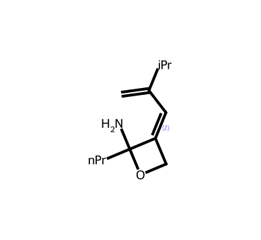 C=C(/C=C1/COC1(N)CCC)C(C)C